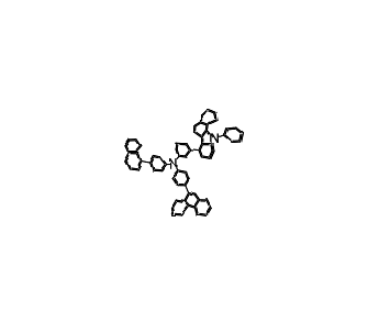 c1ccc(-n2c3cccc(-c4cccc(N(c5ccc(-c6cccc7ccccc67)cc5)c5ccc(-c6cc7ccccc7c7ccccc67)cc5)c4)c3c3ccc4ccccc4c32)cc1